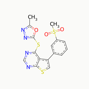 Cc1nnc(Sc2ncnc3scc(-c4cccc(S(C)(=O)=O)c4)c23)o1